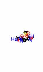 CNC(=O)[C@@H](C)Cn1cnc2ccc(-c3cnc(OC)c(NS(=O)(=O)c4sccc4C)c3)cc2c1=O